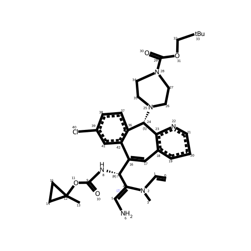 C=CN(C)/C(=C\N)[C@H](NC(=O)OC1(C)CC1)C1=Cc2cccnc2[C@@H](N2CCN(C(=O)OCC(C)(C)C)CC2)c2ccc(Cl)cc21